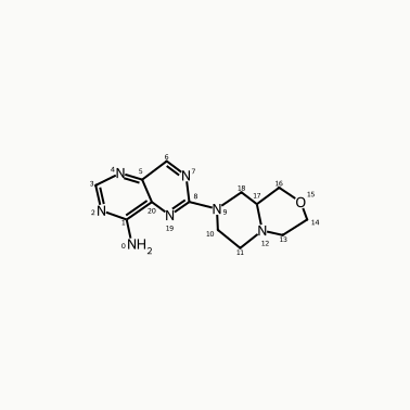 Nc1ncnc2cnc(N3CCN4CCOCC4C3)nc12